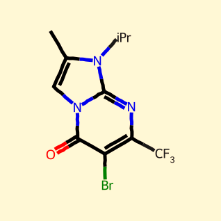 Cc1cn2c(=O)c(Br)c(C(F)(F)F)nc2n1C(C)C